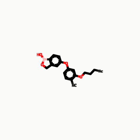 [C-]#[N+]c1ccc(Oc2ccc3c(c2)COB3O)cc1OCCCC(C)=O